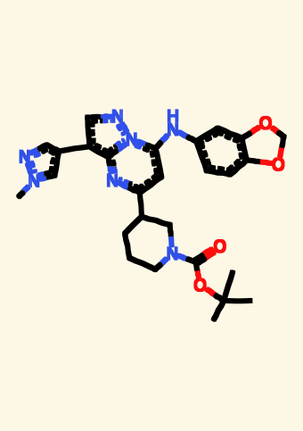 Cn1cc(-c2cnn3c(Nc4ccc5c(c4)OCO5)cc(C4CCCN(C(=O)OC(C)(C)C)C4)nc23)cn1